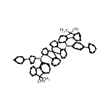 CC1(C)c2ccccc2-c2c(N(c3ccc(-c4ccccc4)cc3)c3cccc4c3-c3ccccc3C43c4ccccc4-c4c(N(c5ccc(-c6ccccc6)cc5)c5cccc6c5-c5ccccc5C6(C)C)cccc43)cccc21